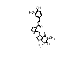 Cn1c(=O)c2c(ncn2CC2SCCN2C(=O)C=Cc2ccc(O)c(O)c2)n(C)c1=O